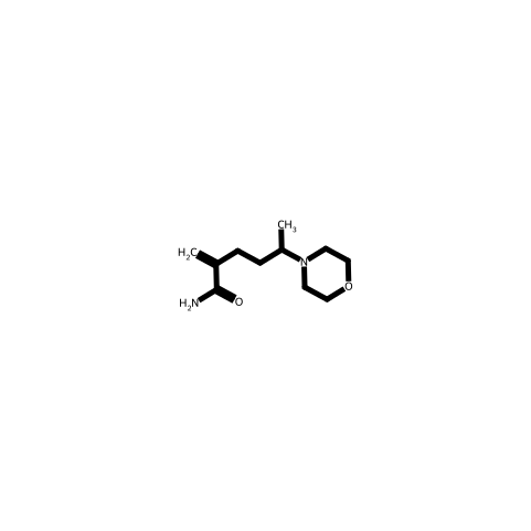 C=C(CCC(C)N1CCOCC1)C(N)=O